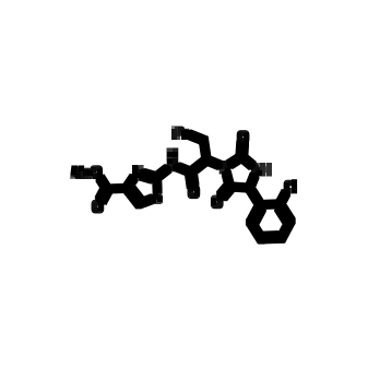 COC(=O)c1csc(NC(=O)C(CC(C)C)N2C(=O)NC(c3ccccc3Cl)C2=O)n1